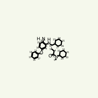 CN(C(=O)CC[C@H](Nc1cc(Oc2ccccc2)ccc1N)C1CCCCC1)C1CCCCC1